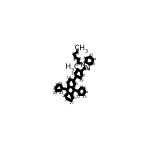 CC/C=C\C=C(/C)n1c(-c2ccc(-c3ccc4c(-c5ccccc5)c5ccccc5c(-c5ccccc5)c4c3)cc2)nc2ccccc21